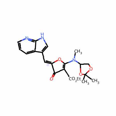 CCOC(=O)C1=C(N(C)C2COC(C)(C)O2)O/C(=C\c2c[nH]c3ncccc23)C1=O